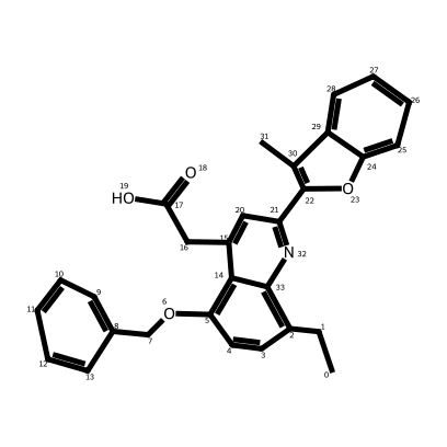 CCc1ccc(OCc2ccccc2)c2c(CC(=O)O)cc(-c3oc4ccccc4c3C)nc12